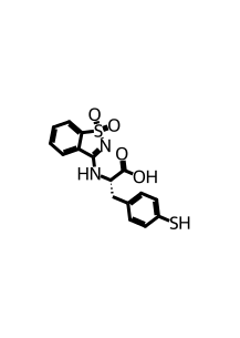 O=C(O)[C@H](Cc1ccc(S)cc1)NC1=NS(=O)(=O)c2ccccc21